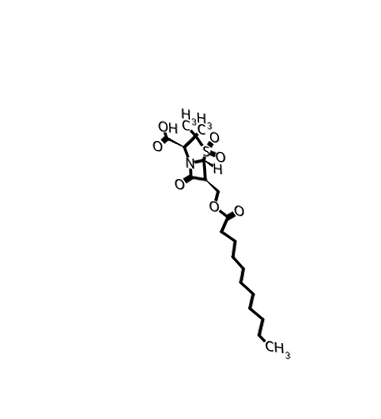 CCCCCCCCCCC(=O)OC[C@H]1C(=O)N2[C@@H](C(=O)O)C(C)(C)S(=O)(=O)[C@H]12